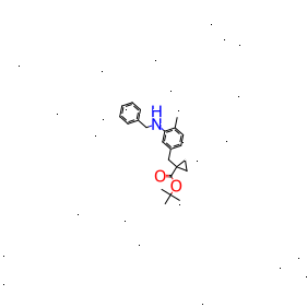 Cc1ccc(CC2(C(=O)OC(C)(C)C)CC2)cc1NCc1ccccc1